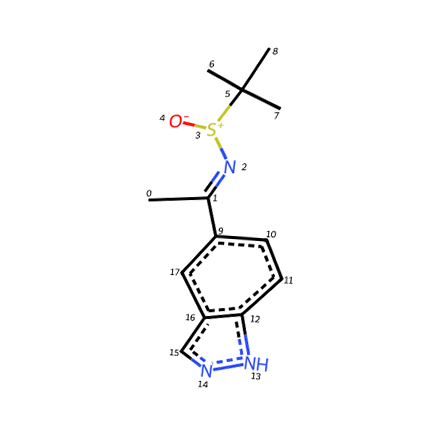 C/C(=N\[S+]([O-])C(C)(C)C)c1ccc2[nH]ncc2c1